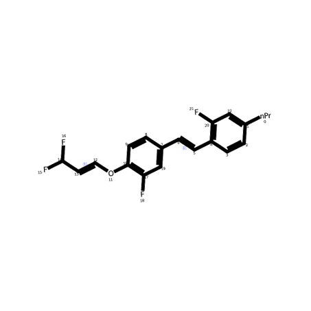 CCCc1ccc(/C=C/c2ccc(O/C=C/C(F)F)c(F)c2)c(F)c1